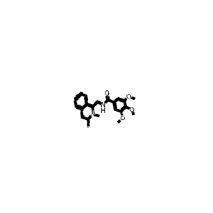 COc1cc(C(=O)NCC2c3ccccc3CC(C)N2C)cc(OC)c1OC